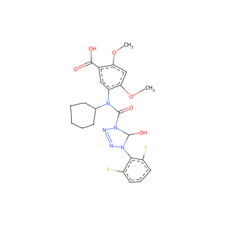 COc1cc(OC)c(N(C(=O)N2N=NN(c3c(F)cccc3F)C2O)C2CCCCC2)cc1C(=O)O